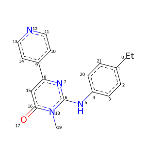 CCc1ccc(Nc2nc(-c3ccncc3)cc(=O)n2C)cc1